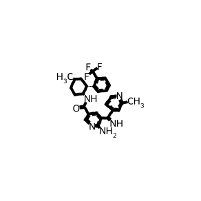 Cc1cc(C(=N)c2cc(C(=O)N[C@H]3CCC(C)C[C@@H]3c3ccccc3C(F)(F)F)cnc2N)ccn1